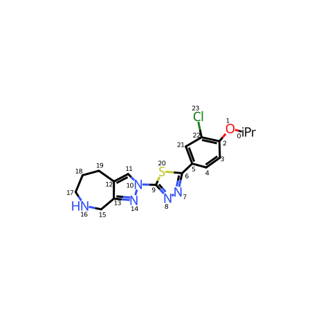 CC(C)Oc1ccc(-c2nnc(-n3cc4c(n3)CNCCC4)s2)cc1Cl